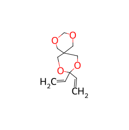 C=CC1(C=C)OCC2(COCOC2)CO1